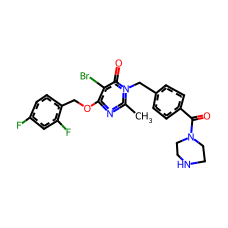 Cc1nc(OCc2ccc(F)cc2F)c(Br)c(=O)n1Cc1ccc(C(=O)N2CCNCC2)cc1